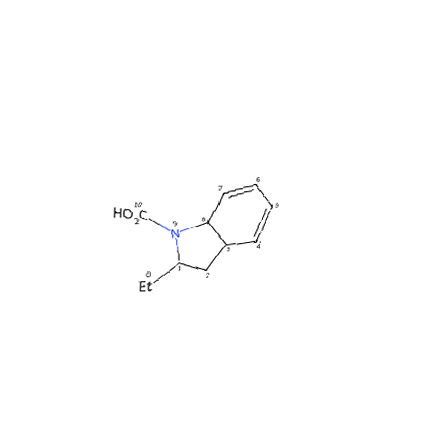 CCC1CC2[C]=CC=CC2N1C(=O)O